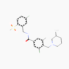 CCS(=O)(=O)c1ccc(Cl)cc1CNC(=O)c1cc(Cl)c(CN2CCCC(NC)C2)c(C(F)(F)F)c1